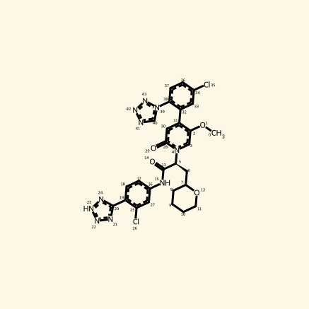 COc1cn([C@@H](CC2CCCCO2)C(=O)Nc2ccc(-c3nn[nH]n3)c(Cl)c2)c(=O)cc1-c1cc(Cl)ccc1-n1cnnn1